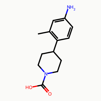 Cc1cc(N)ccc1C1CCN(C(=O)O)CC1